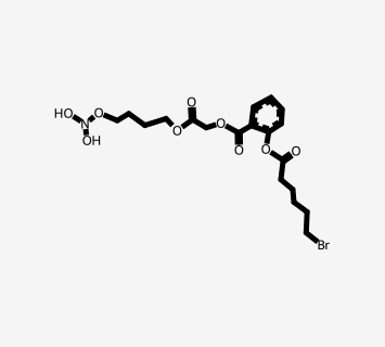 O=C(COC(=O)c1ccccc1OC(=O)CCCCCBr)OCCCCON(O)O